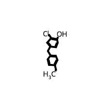 CCc1ccc(Cc2ccc(O)c(Cl)c2)cc1